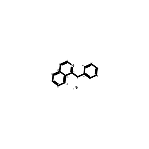 [N].c1ccc(Cc2nccc3ccccc23)cc1